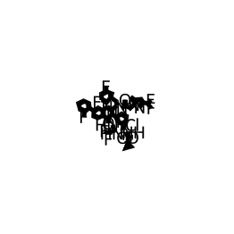 Cc1cc(C(F)F)nn1CC(=O)NC(Cc1cc(F)cc(F)c1)c1nc2cc(-c3ccccc3F)ccc2c(=O)n1-c1ccc(Cl)c(C(=N)NS(=O)(=O)C2CC2)c1NCC(F)F